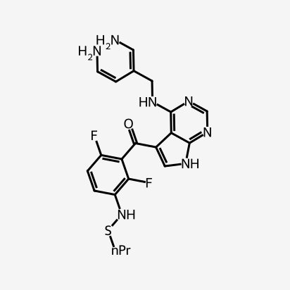 CCCSNc1ccc(F)c(C(=O)c2c[nH]c3ncnc(NCC(/C=C\N)=C/N)c23)c1F